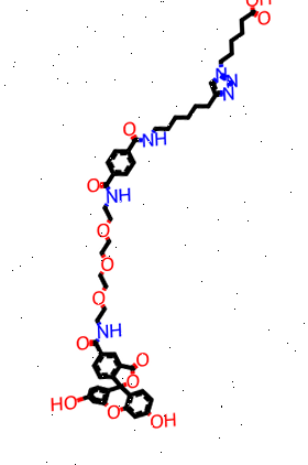 O=C(O)CCCCCn1cc(CCCCCCNC(=O)c2ccc(C(=O)NCCOCCOCCOCCNC(=O)c3ccc4c(c3)C(=O)OC43c4ccc(O)cc4Oc4cc(O)ccc43)cc2)nn1